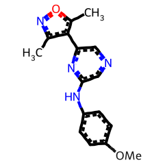 COc1ccc(Nc2cncc(-c3c(C)noc3C)n2)cc1